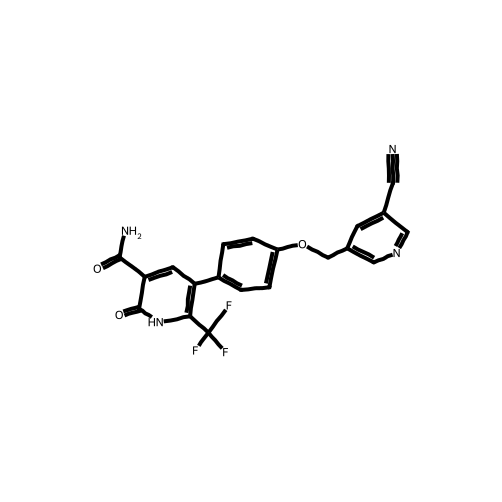 N#Cc1cncc(COc2ccc(-c3cc(C(N)=O)c(=O)[nH]c3C(F)(F)F)cc2)c1